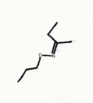 [CH2]/C(CC)=N/OCCC